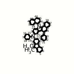 CC1(C)c2ccccc2-c2ccc(N(c3ccccc3)c3ccc4c(c3)c3c(-c5ccccc5)cc5ccccc5c3n4-c3cccc4ccccc34)cc21